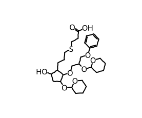 O=C(O)CCSCCCC1C(O)CC(OC2CCCCO2)C1OCC(COc1ccccc1)OC1CCCCO1